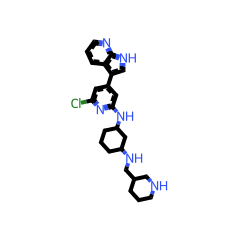 Clc1cc(-c2c[nH]c3ncccc23)cc(NC2CCCC(NCC3CCCNC3)C2)n1